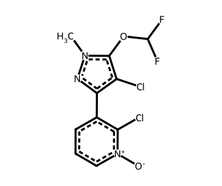 Cn1nc(-c2ccc[n+]([O-])c2Cl)c(Cl)c1OC(F)F